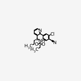 CCC[C@H](NS(=O)(=O)CC)c1cccnc1-c1ccc(C#N)c(Cl)c1